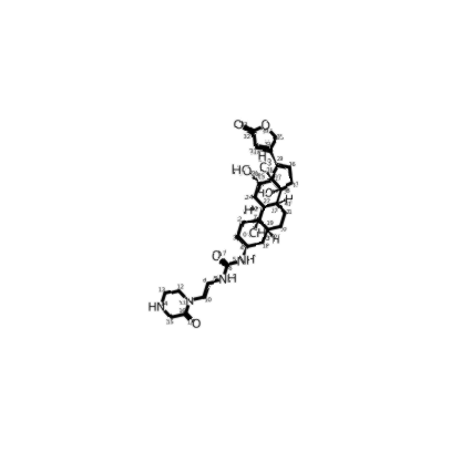 C[C@]12CC[C@H](NC(=O)NCCN3CCNCC3=O)C[C@H]1CC[C@@H]1[C@@H]2C[C@@H](O)[C@]2(C)[C@@H](C3=CC(=O)OC3)CC[C@]12O